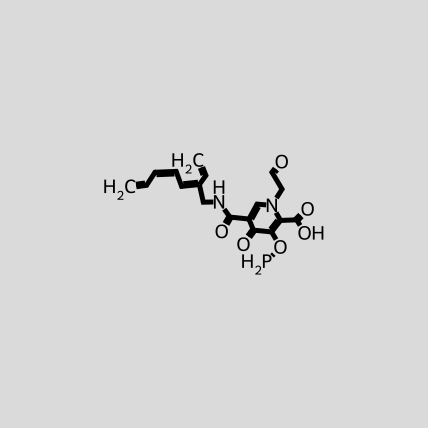 C=C/C=C\C=C(/C=C)CNC(=O)c1cn(CC=O)c(C(=O)O)c(OP)c1=O